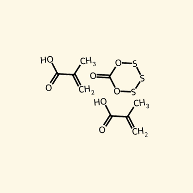 C=C(C)C(=O)O.C=C(C)C(=O)O.O=c1ossso1